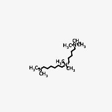 CN(C)CCCCCC[N+](C)(C)CCCCC[N+](C)(C)C